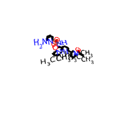 CCC(C)(C)C(=O)N1CCC=C(c2ccc(C(=O)NS(=O)(=O)c3cccc(N)n3)c(N3CCC(C)C3(C)C)n2)C1